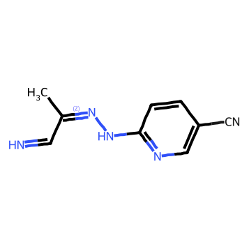 C/C(C=N)=N/Nc1ccc(C#N)cn1